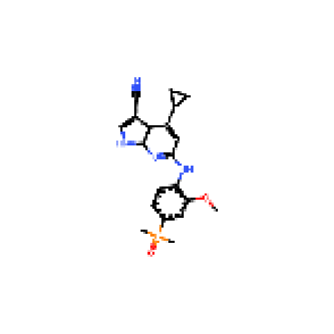 COc1cc(P(C)(C)=O)ccc1NC1=NC2NC=C(C#N)C2C(C2CC2)=C1